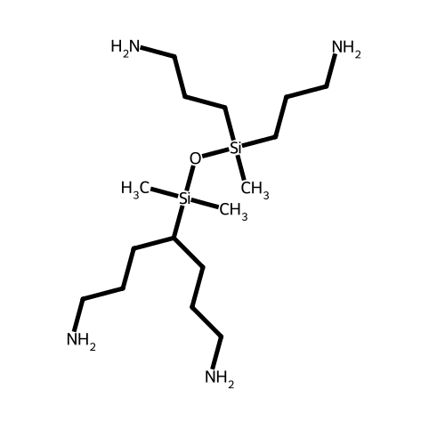 C[Si](CCCN)(CCCN)O[Si](C)(C)C(CCCN)CCCN